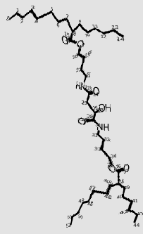 CCCCCCCCC(CCCCCC)C(=O)OCCCCNC(=O)CC(O)C(=O)NCCCCOC(=O)C(CCCCCC)CCCCCCCC